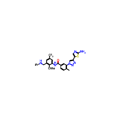 COc1c(CNC(C)C)cc(C(F)(F)F)cc1NC(=O)c1ccc(C)c(-n2cc(-c3cnc(N)s3)nn2)c1